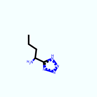 CCCC(N)c1nnn[nH]1